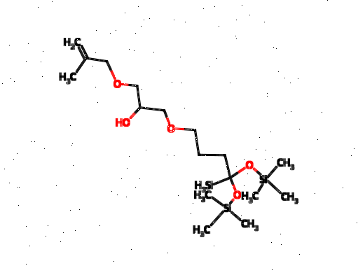 C=C(C)COCC(O)COCCCC([SiH3])(O[Si](C)(C)C)O[Si](C)(C)C